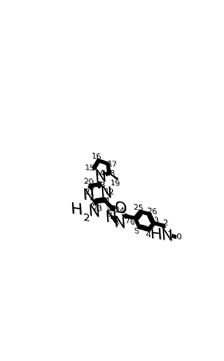 CNCc1ccc(-c2nnc(-c3nc(N4CCC[C@H]4C)cnc3N)o2)cc1